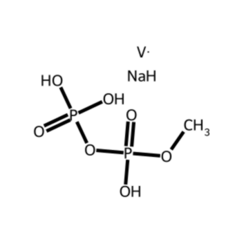 COP(=O)(O)OP(=O)(O)O.[NaH].[V]